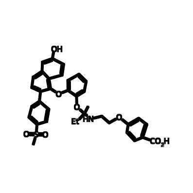 CCC(C)(NCCOc1ccc(C(=O)O)cc1)Oc1ccccc1Oc1c(-c2ccc(S(C)(=O)=O)cc2)ccc2cc(O)ccc12